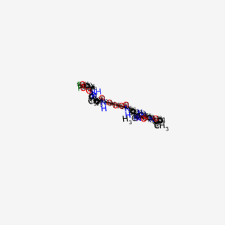 Cc1ccc(NC(=O)C2(c3ccc4c(c3)OC(F)(F)O4)CC2)nc1-c1cccc(C(=O)NCCOCCOCCOCC(=O)NCc2ccc(-c3c4ncn(CC5(O)CCN(C(=O)C[C@@H](C)c6ccccc6)CC5)c(=O)c4nn3C)cc2)c1